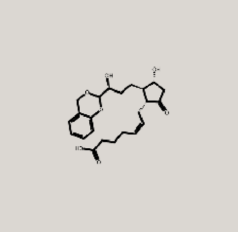 O=C(O)CCC/C=C\C[C@H]1C(=O)C[C@@H](O)[C@@H]1CC[C@H](O)C1OCc2ccccc2O1